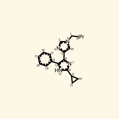 CC(C)Cn1cnc(-c2nc(C3CC3)[nH]c2-c2ccccc2)c1